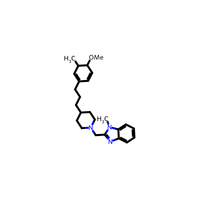 COC1C=CC(CCCC2CCN(Cc3nc4ccccc4n3C)CC2)=CC1C